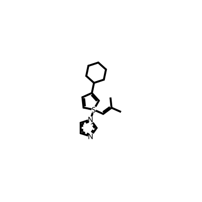 CC(C)=CS1(n2ccnc2)C=CC(C2CCCCC2)=C1